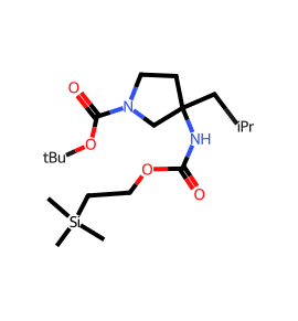 CC(C)CC1(NC(=O)OCC[Si](C)(C)C)CCN(C(=O)OC(C)(C)C)C1